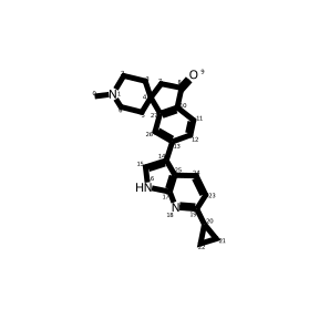 CN1CCC2(CC1)CC(=O)c1ccc(-c3c[nH]c4nc(C5CC5)ccc34)cc12